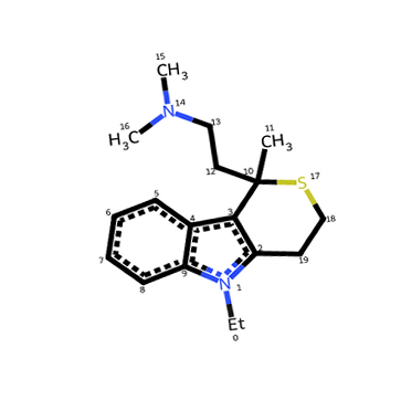 CCn1c2c(c3ccccc31)C(C)(CCN(C)C)SCC2